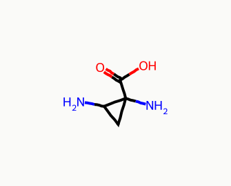 NC1CC1(N)C(=O)O